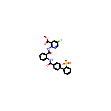 COC(=O)c1cc(Cl)cnc1NC(=O)c1ccccc1NC(=O)c1ccc(-c2ccccc2S(C)(=O)=O)cc1